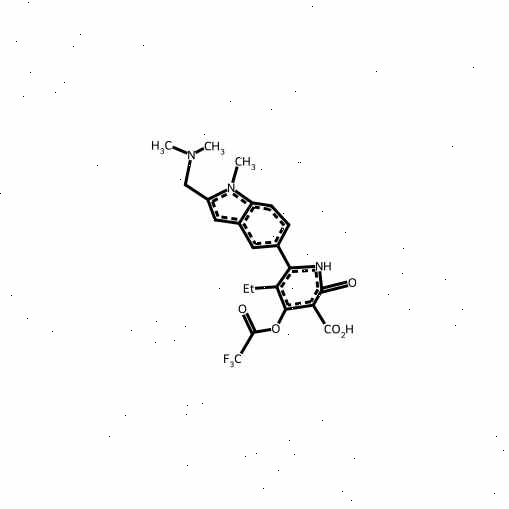 CCc1c(-c2ccc3c(c2)cc(CN(C)C)n3C)[nH]c(=O)c(C(=O)O)c1OC(=O)C(F)(F)F